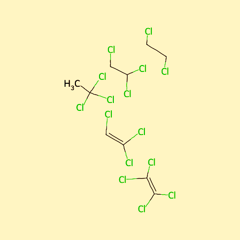 CC(Cl)(Cl)Cl.ClC(Cl)=C(Cl)Cl.ClC=C(Cl)Cl.ClCC(Cl)Cl.ClCCCl